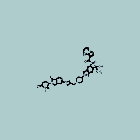 CC(C)(O)c1cc2nn(C3CCN(CC4CN(c5ccc6c(c5)CN(C5CCC(=O)NC5=O)C6=O)C4)CC3)cc2cc1NC(=O)c1cnn2cccnc12